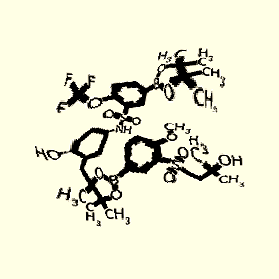 COc1ccc(B2OC(C)(C)C(C)(CC3C[C@@H](NS(=O)(=O)c4cc(B5OC(C)(C)C(C)(C)O5)ccc4OC(F)(F)F)CC[C@H]3O)O2)cc1S(=O)(=O)CC(C)(C)O